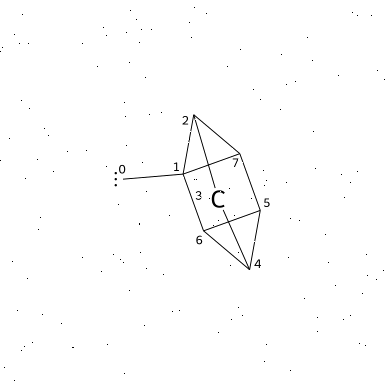 [C]C12C3CC4C(C41)C32